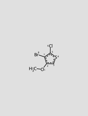 COc1csc(Cl)c1Br